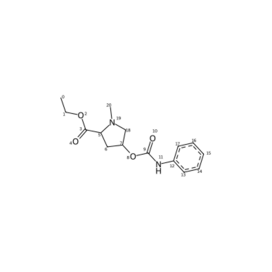 CCOC(=O)C1CC(OC(=O)Nc2ccccc2)CN1C